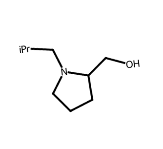 CC(C)CN1CCCC1CO